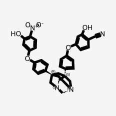 N#Cc1ccc(Oc2ccc([C@@]34C[N@@]5C[N@@](C3)C[C@](c3ccc(Oc6ccc([N+](=O)[O-])c(O)c6)cc3)(C5)C4)cc2)cc1O